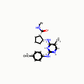 CC(C)NC(=O)[C@H]1CCC[C@H]1Nc1nc(Nc2ccc(C=O)cc2)ncc1C(F)(F)F